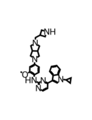 COc1cc(N2CC3CN(CC4CNC4)CC3C2)ccc1Nc1nccc(-c2cn(C3CC3)c3ccccc23)n1